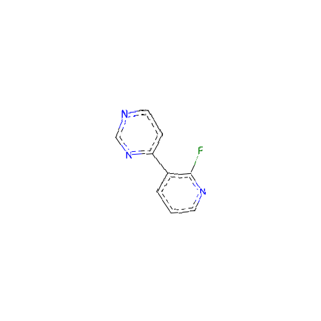 Fc1ncccc1-c1ccncn1